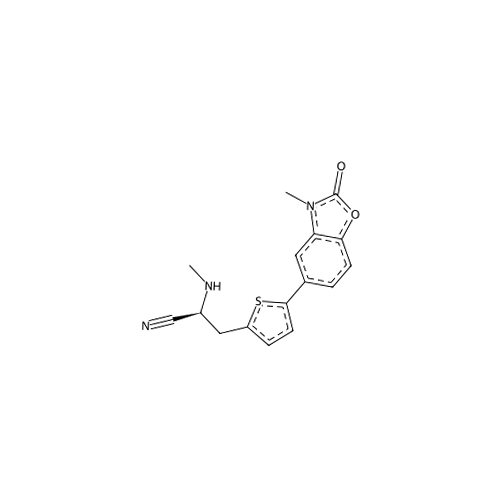 CN[C@H](C#N)Cc1ccc(-c2ccc3oc(=O)n(C)c3c2)s1